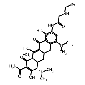 CC(C)CNCC(=O)Nc1cc(N(C)C)c2c(c1O)C(=O)C1=C(O)[C@]3(O)C(=O)C(C(N)=O)=C(O)[C@@H](N(C)C)C3CC1C2